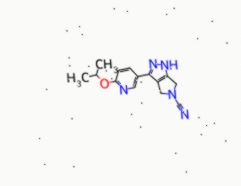 CC(C)Oc1ccc(-c2n[nH]c3c2CN(C#N)C3)cn1